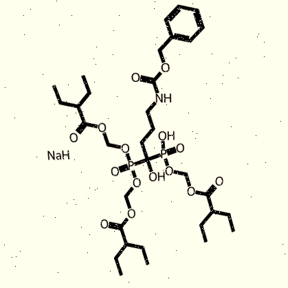 CCC(CC)C(=O)OCOP(=O)(O)C(O)(CCCNC(=O)OCc1ccccc1)P(=O)(OCOC(=O)C(CC)CC)OCOC(=O)C(CC)CC.[NaH]